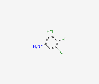 Cl.Nc1ccc(F)c(Cl)c1